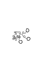 O=S1(=O)OC[C@H]2OCO[C@H]([C@H](COCc3ccccc3)OCc3ccccc3)[C@@H](OCc3ccccc3)[C@@H]2O1